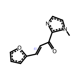 Cn1ccnc1C(=O)/C=C/c1ccco1